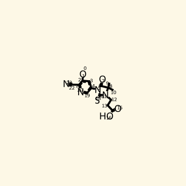 COc1cc(N2C(=O)C(C)(C)N(CCC(=O)O)C2=S)cnc1C#N